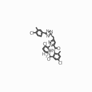 Cc1cc(-c2nnn(Cc3cc(C(=O)Nc4c(C)cc(Cl)cc4C(N)=O)n(-c4ncccc4Cl)n3)n2)ccc1Cl